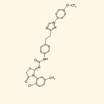 Cc1ccc(Cl)c(N2C(=O)CS/C2=N\C(=O)Nc2ccc(CCc3ncn(-c4ccc(OC(F)(F)F)cc4)n3)cc2)c1